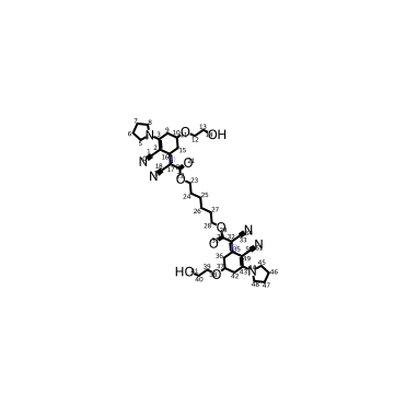 N#CC1=C(N2CCCC2)CC(OCCO)C/C1=C(/C#N)C(=O)OCCCCCCOC(=O)/C(C#N)=C1\CC(OCCO)CC(N2CCCC2)=C1C#N